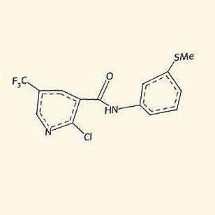 CSc1cccc(NC(=O)c2cc(C(F)(F)F)cnc2Cl)c1